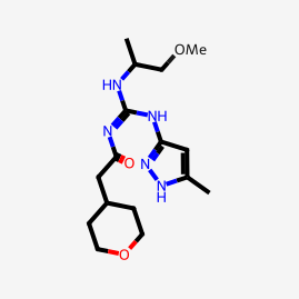 COCC(C)N/C(=N/C(=O)CC1CCOCC1)Nc1cc(C)[nH]n1